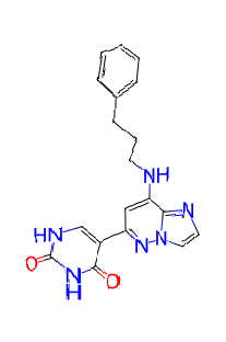 O=c1[nH]cc(-c2cc(NCCCc3ccccc3)c3nccn3n2)c(=O)[nH]1